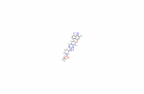 Cn1c(=O)c(-c2cccc3c(N)c(F)ccc23)cc2cnc(N[C@H]3CCCN(C(=O)OC(C)(C)C)C3)nc21